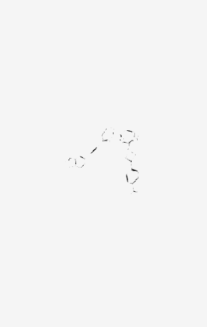 O=C(O)c1ccc(C2CN(c3nccc(-c4nccc(C#Cc5ccc6[nH]ncc6c5)n4)n3)C2)cc1